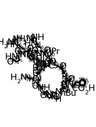 CCCC[C@@H]1NC(=O)[C@@H]2CCCN2C(=O)CNC(=O)[C@H](CCCCN)NC(=O)[C@H](Cc2cnc[nH]2)NC(=O)[C@@H](NC(=O)[C@H](CC(C)C)NC(=O)[C@H](CCCNC(=N)N)NC(=O)[C@@H]2CCCN2C(=O)[C@H](CCCNC(=N)N)NC(=O)[C@@H]2CCC(=O)N2)CSCC(=O)CSC[C@@H](C(=O)N[C@@H](Cc2ccccc2)C(=O)O)NC1=O